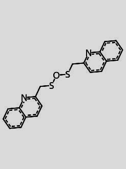 c1ccc2nc(CSOSCc3ccc4ccccc4n3)ccc2c1